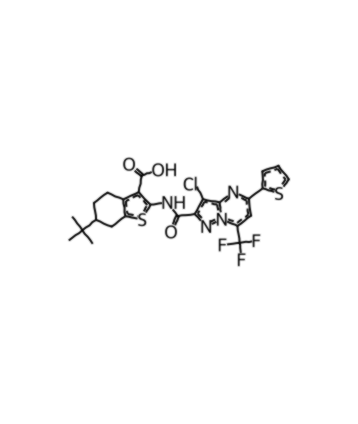 CC(C)(C)C1CCc2c(sc(NC(=O)c3nn4c(C(F)(F)F)cc(-c5cccs5)nc4c3Cl)c2C(=O)O)C1